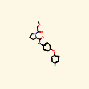 COCC(=O)N1CCCC1C(=O)Nc1ccc(Oc2ccc(F)cc2)cc1